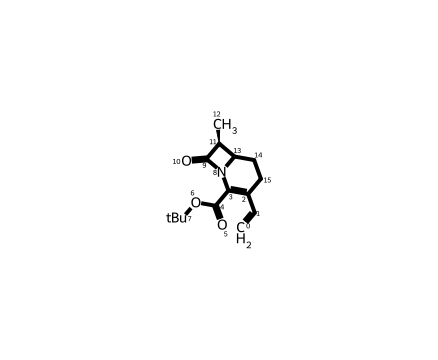 C=CC1=C(C(=O)OC(C)(C)C)N2C(=O)[C@@H](C)C2CC1